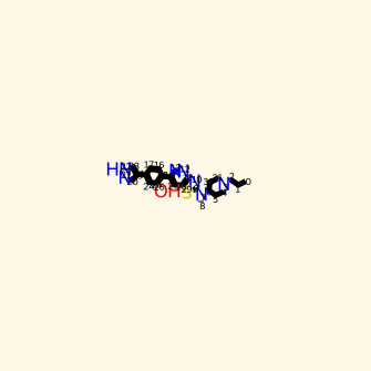 CCCN1CCC(N(C)c2nc3nnc(-c4ccc(-c5cn[nH]c5)cc4O)cc3s2)CC1